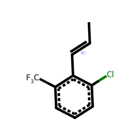 C/C=C/c1c(Cl)cccc1C(F)(F)F